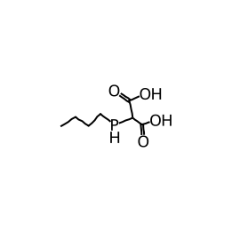 CCCCPC(C(=O)O)C(=O)O